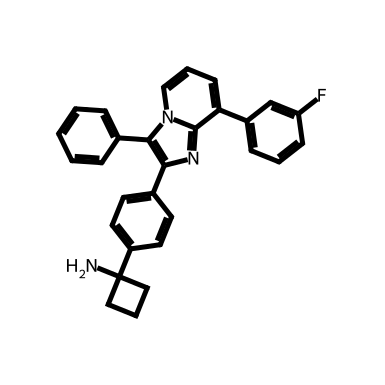 NC1(c2ccc(-c3nc4c(-c5cccc(F)c5)cccn4c3-c3ccccc3)cc2)CCC1